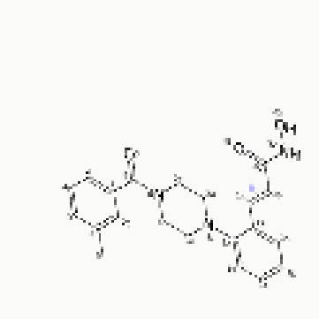 Cc1cccc(C(=O)N2CCN(c3ccccc3/C=C/C(=O)NO)CC2)c1